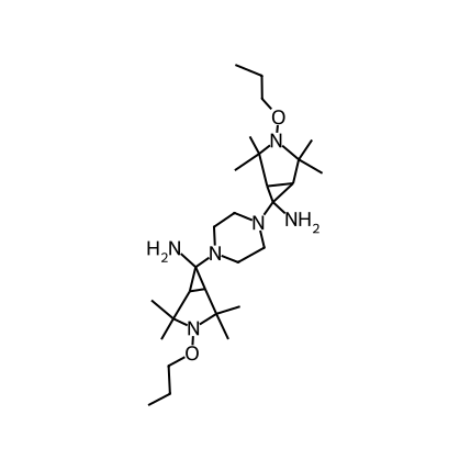 CCCON1C(C)(C)C2C(C1(C)C)C2(N)N1CCN(C2(N)C3C2C(C)(C)N(OCCC)C3(C)C)CC1